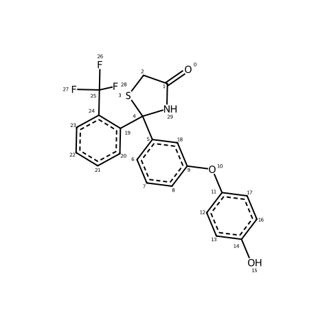 O=C1CSC(c2cccc(Oc3ccc(O)cc3)c2)(c2ccccc2C(F)(F)F)N1